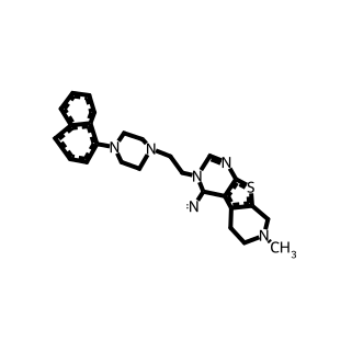 CN1CCc2c(sc3c2C([N])N(CCN2CCN(c4cccc5ccccc45)CC2)C=N3)C1